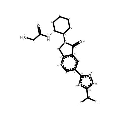 CCC(=O)N[C@@H]1CCCC[C@H]1N1Cc2ncc(-c3nnc(C(F)F)o3)cc2C1=O